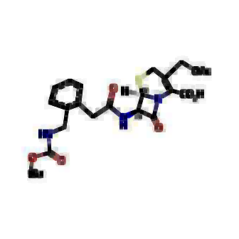 CC(=O)OCC1=C(C(=O)O)N2C(=O)[C@@H](NC(=O)Cc3ccccc3CNC(=O)OC(C)(C)C)[C@H]2SC1